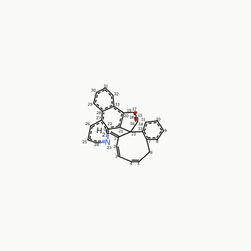 C=C1/C=C\C=C/Cc2ccccc2C12c1ccccc1-c1c2c2ncccc2c2ccccc12